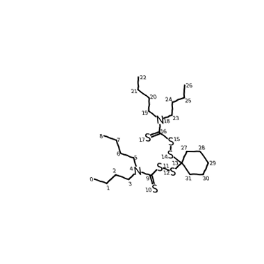 CCCCN(CCCC)C(=S)SSC1(SSC(=S)N(CCCC)CCCC)CCCCC1